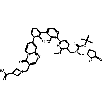 COc1nc(-c2cccc(-c3cccc(-c4ccn5c(=O)c(CN6CC(C(=O)O)C6)cnc5c4)c3Cl)c2Cl)cnc1CN(C[C@@H]1CCC(=O)N1)C(=O)OC(C)(C)C